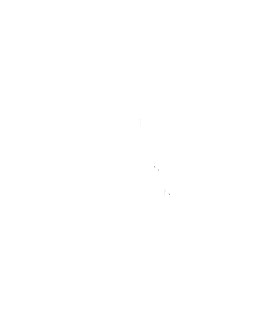 NN(c1ccccc1)c1c(Cl)cc(Cl)cc1Cl